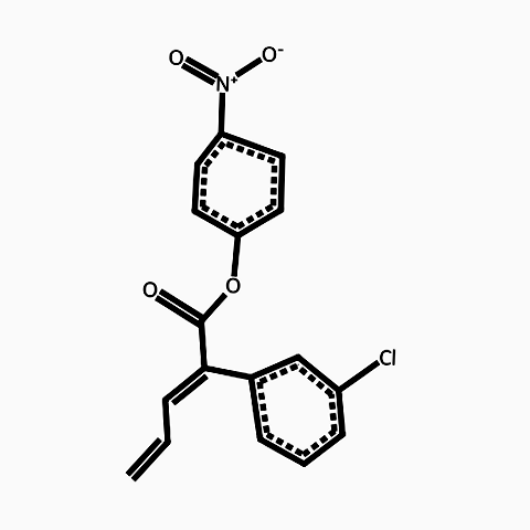 C=C/C=C(/C(=O)Oc1ccc([N+](=O)[O-])cc1)c1cccc(Cl)c1